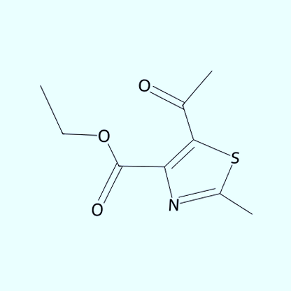 CCOC(=O)c1nc(C)sc1C(C)=O